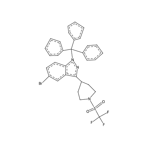 O=S(=O)(N1CCC(c2nn(C(c3ccccc3)(c3ccccc3)c3ccccc3)c3ccc(Br)cc23)CC1)C(F)(F)F